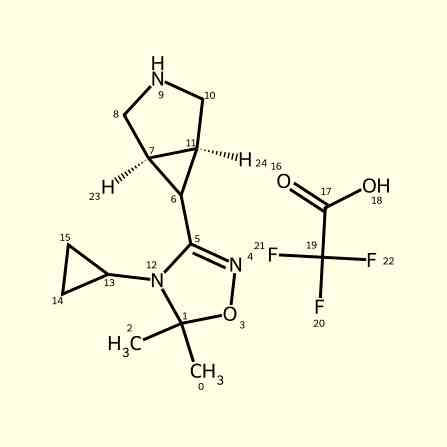 CC1(C)ON=C(C2[C@H]3CNC[C@@H]23)N1C1CC1.O=C(O)C(F)(F)F